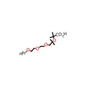 CCCOCCOCCOCC(C)(C)OC(C)(C)C(=O)O